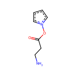 NCCC(=O)On1cccc1